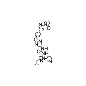 CC(C)Cc1cc(NC(=O)Nc2cnc(Oc3ccc(-c4cnc(N5CCCC5=O)s4)cc3)nc2)n(-c2cccnc2)n1